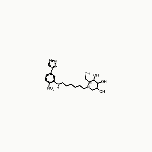 O=[N+]([O-])c1ccc(-n2cnnn2)cc1NCCCCCCN1CC(O)C(O)C(O)[C@@H]1CO